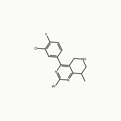 CC(C)c1nc(-c2ccc(F)c(Cl)c2)c2c(n1)C(C)CNC2